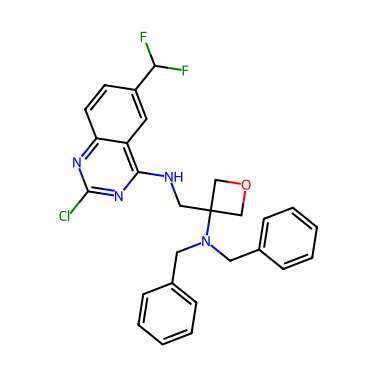 FC(F)c1ccc2nc(Cl)nc(NCC3(N(Cc4ccccc4)Cc4ccccc4)COC3)c2c1